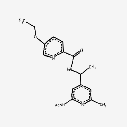 CC(=O)Nc1cc(C(C)NC(=O)c2ccc(OCC(F)(F)F)cn2)cc(C)n1